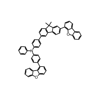 CC1(C)c2ccc(-c3ccc(N(c4ccccc4)c4ccc(-c5cccc6oc7ccccc7c56)cc4)cc3)cc2-c2ccc(-c3cccc4c3oc3ccccc34)cc21